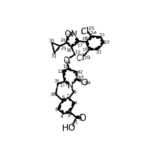 O=C(O)c1ccc2c(c1)Cn1c(cc(OCc3c(-c4c(Cl)cccc4Cl)noc3C3CC3)cc1=O)CC2